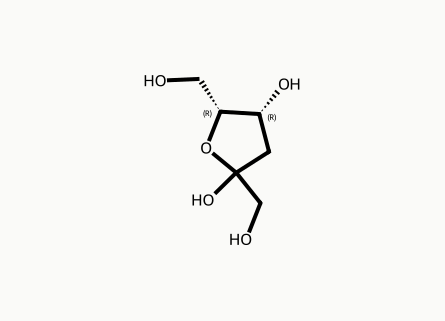 OC[C@H]1OC(O)(CO)C[C@H]1O